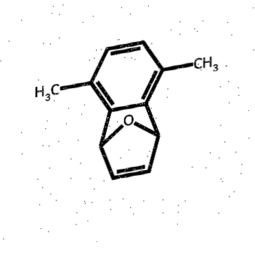 Cc1ccc(C)c2c1C1C=CC2O1